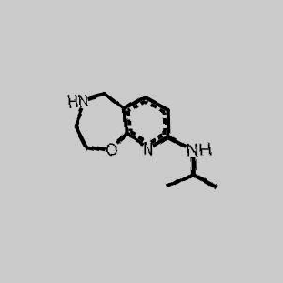 CC(C)Nc1ccc2c(n1)OCCNC2